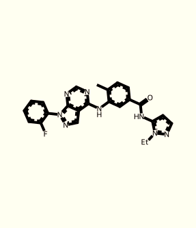 CCn1nccc1NC(=O)c1ccc(C)c(Nc2ncnc3c2cnn3-c2ccccc2F)c1